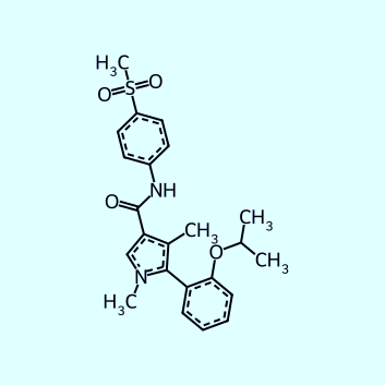 Cc1c(C(=O)Nc2ccc(S(C)(=O)=O)cc2)cn(C)c1-c1ccccc1OC(C)C